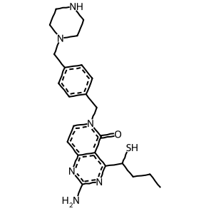 CCCC(S)c1nc(N)nc2ccn(Cc3ccc(CN4CCNCC4)cc3)c(=O)c12